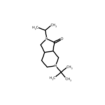 CC(C)N1CC2CCN(C(C)(C)C)CC2C1=O